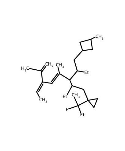 C=C(C)C(=C/C)/C=C(\C)C(C(CC)CC1CC(C)C1)C(CC)CC1(C(C)(F)CC)CC1